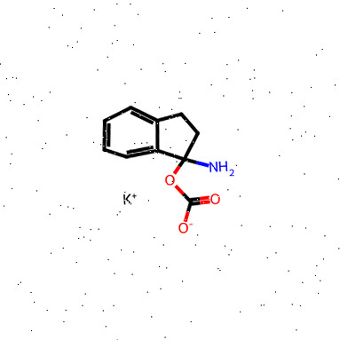 NC1(OC(=O)[O-])CCc2ccccc21.[K+]